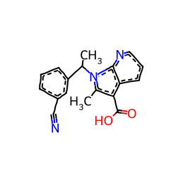 Cc1c(C(=O)O)c2cccnc2n1C(C)c1cccc(C#N)c1